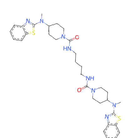 CN(c1nc2ccccc2s1)C1CCN(C(=O)NCCCCNC(=O)N2CCC(N(C)c3nc4ccccc4s3)CC2)CC1